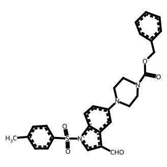 Cc1ccc(S(=O)(=O)n2cc(C=O)c3cc(N4CCN(C(=O)OCc5ccccc5)CC4)ccc32)cc1